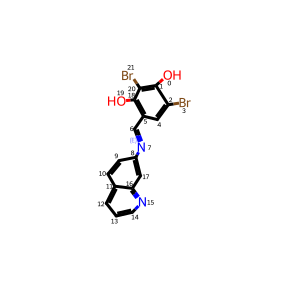 Oc1c(Br)cc(/C=N/c2ccc3cccnc3c2)c(O)c1Br